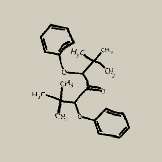 CC(C)(C)C(Oc1ccccc1)C(=O)C(Oc1ccccc1)C(C)(C)C